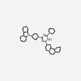 c1ccc(C2=NC(c3ccc(-n4c5ccccc5c5ccccc54)cc3)=NC(c3ccc4ccc5ccccc5c4c3)N2)cc1